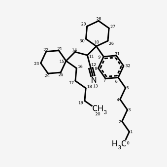 CCCCCCc1ccc(C2(C(C#N)CC3(CCCCC)CCCCC3)CCCCC2)cc1